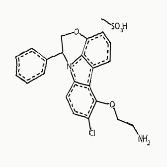 CS(=O)(=O)O.NCCOc1c(Cl)ccc2c1c1cccc3c1n2C(c1ccccc1)CO3